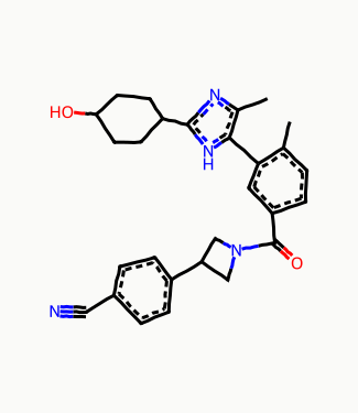 Cc1ccc(C(=O)N2CC(c3ccc(C#N)cc3)C2)cc1-c1[nH]c(C2CCC(O)CC2)nc1C